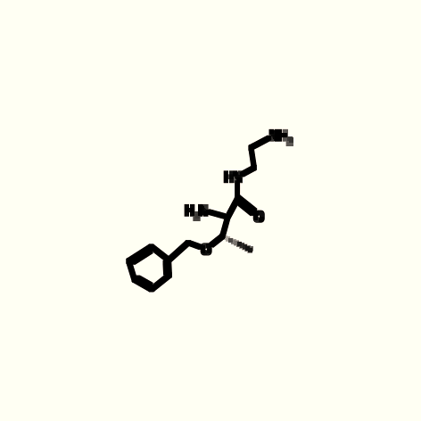 C[C@H](OCc1ccccc1)C(N)C(=O)NCCN